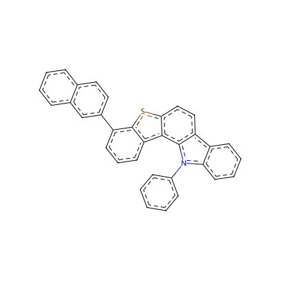 c1ccc(-n2c3ccccc3c3ccc4sc5c(-c6ccc7ccccc7c6)cccc5c4c32)cc1